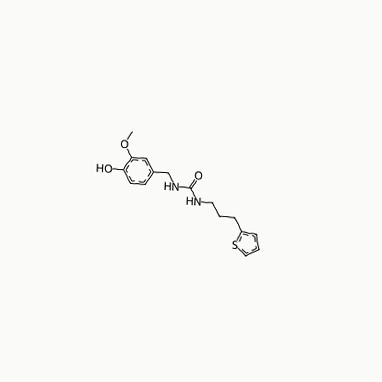 COc1cc(CNC(=O)NCCCc2cccs2)ccc1O